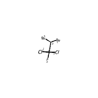 FC(Cl)(Cl)C(Br)Br